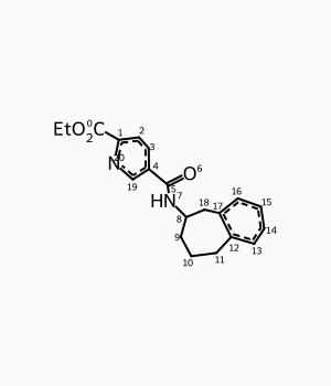 CCOC(=O)c1ccc(C(=O)NC2CCCc3ccccc3C2)cn1